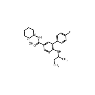 CCC(C)Nc1ncc(C(=O)N[C@@H]2CCCC[C@H]2O)cc1-c1ccc(F)cc1